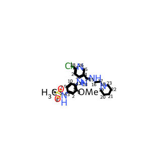 COc1cc(NS(C)(=O)=O)ccc1-n1nc(NCCN2CCCCC2)c2cnc(Cl)cc21